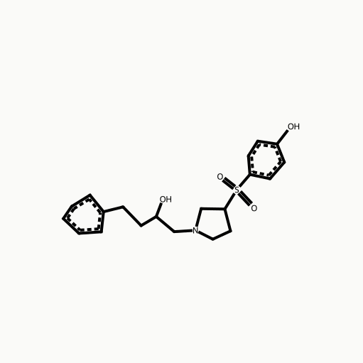 O=S(=O)(c1ccc(O)cc1)C1CCN(CC(O)CCc2ccccc2)C1